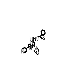 C(=NNc1cc(N2CCOCC2)n2nc(-c3ccncc3)cc2n1)c1csc2ccccc12